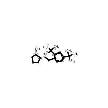 CC(C)(C)c1ccc(CC[C@@H]2CCC[C@H]2O)c(C(C)(C)C)c1